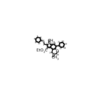 CCOC(=O)c1c(CSc2ccccc2)n(C)c2cc(-c3ccccc3)c3c(c12)CN(C)CO3